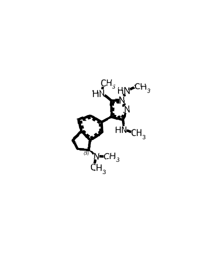 CNc1nn(NC)c(NC)c1-c1ccc2c(c1)[C@@H](N(C)C)CC2